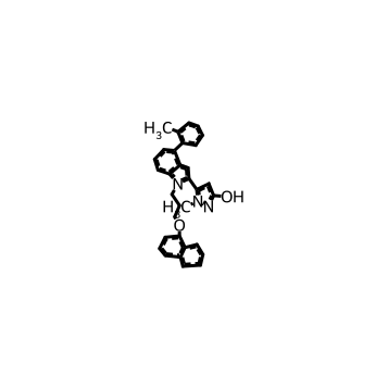 Cc1ccccc1-c1cccc2c1cc(-c1cc(O)nn1C)n2CCCOc1cccc2ccccc12